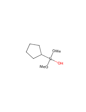 CO[Si](O)(OC)C1CCCC1